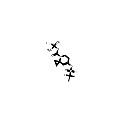 CC(C)(C)OC(=O)N1CCC(OS(=O)(=O)C(F)(F)F)=CC12CC2